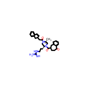 C[C@@H]1CN(C(=O)C2CCC(=O)c3ccccc3C2)[C@@H](CCCNC(=N)N)CN1C(=O)CC1C=Cc2ccccc2C1